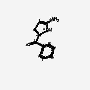 NC1=CCN(C(=O)c2ccccc2)N1